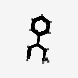 COC(C=O)c1ccccc1